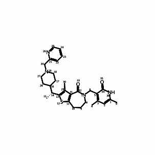 Cc1cc(C)c(CN2CCCc3sc([C@H](C)C4CCN(Cc5ccccn5)CC4)c(C)c3C2=O)c(=O)[nH]1